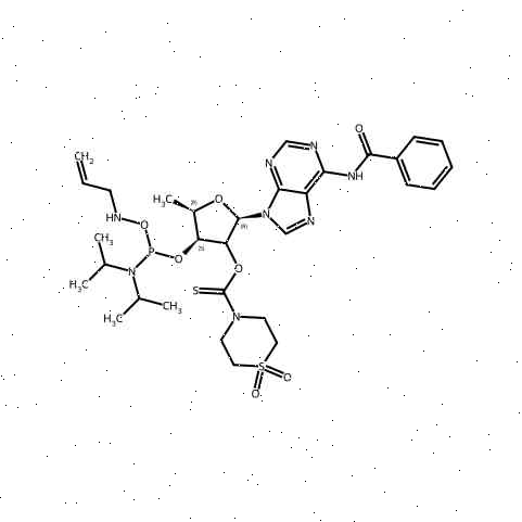 C=CCNOP(O[C@@H]1C(OC(=S)N2CCS(=O)(=O)CC2)[C@H](n2cnc3c(NC(=O)c4ccccc4)ncnc32)O[C@@H]1C)N(C(C)C)C(C)C